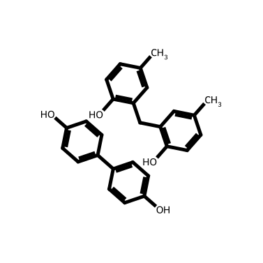 Cc1ccc(O)c(Cc2cc(C)ccc2O)c1.Oc1ccc(-c2ccc(O)cc2)cc1